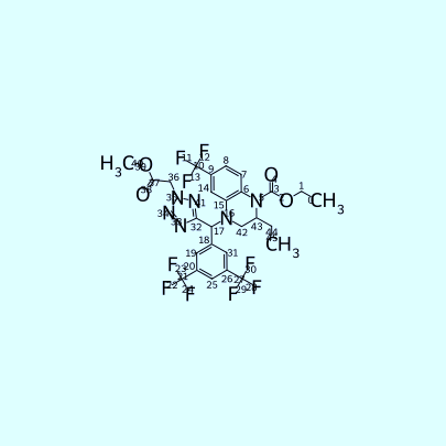 CCOC(=O)N1c2ccc(C(F)(F)F)cc2N(C(c2cc(C(F)(F)F)cc(C(F)(F)F)c2)c2nnn(CC(=O)OC)n2)CC1CC